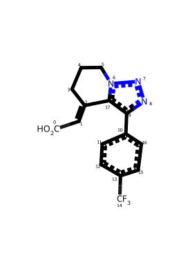 O=C(O)C=C1CCCn2nnc(-c3ccc(C(F)(F)F)cc3)c21